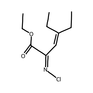 CCOC(=O)/C(C=C(CC)CC)=N/Cl